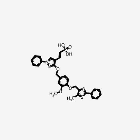 COc1cc(COc2nn(-c3ccccc3)cc2C=CP(=O)(O)O)ccc1OCc1nc(-c2ccccc2)sc1C